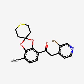 COc1ccc(C(=O)Cc2ccncc2Br)c2c1OC1(CCSCC1)O2